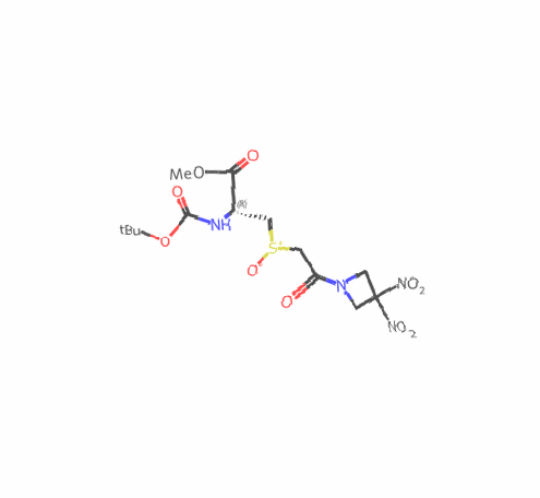 COC(=O)[C@H](C[S+]([O-])CC(=O)N1CC([N+](=O)[O-])([N+](=O)[O-])C1)NC(=O)OC(C)(C)C